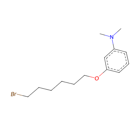 CN(C)c1cccc(OCCCCCCBr)c1